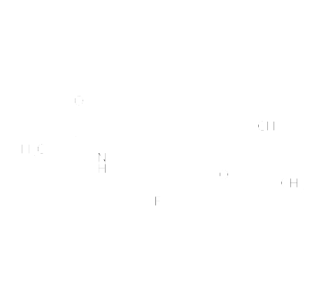 CC(=O)NCC(F)COC(C)C